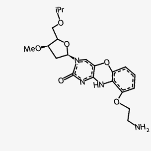 CO[C@@H]1C[C@H](n2cc3c(nc2=O)Nc2c(OCCN)cccc2O3)OC1COC(C)C